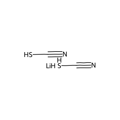 N#CS.N#CS.[LiH]